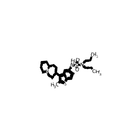 CCCN(CCC)S(=O)(=O)Nc1ccc2sc(C)c(C3CCC4CCCCN4CC3)c2c1